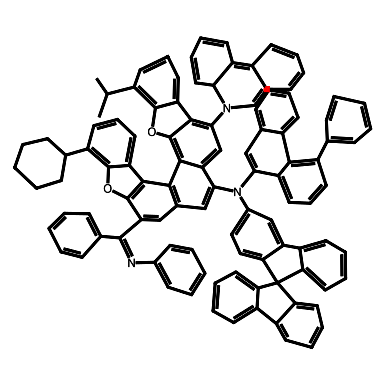 CC(C)c1cccc2c1oc1c2c(N2C=c3ccccc3=C3C=CC=CC32)cc2c(N(c3ccc4c(c3)-c3ccccc3C43c4ccccc4-c4ccccc43)c3cc4ccccc4c4c(-c5ccccc5)cccc34)cc3cc(/C(=N\c4ccccc4)c4ccccc4)c4oc5c(C6CCCCC6)cccc5c4c3c21